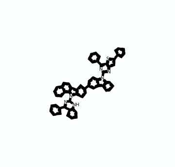 c1ccc(C2=NC(n3c4ccc(-c5ccc6c(c5)c5ccccc5n6-c5nc(-c6ccccc6)c6sc(-c7ccccc7)cc6n5)cc4c4ccc5ccccc5c43)Nc3ccccc32)cc1